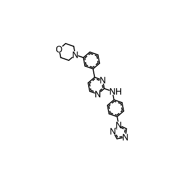 c1cc(-c2ccnc(Nc3ccc(-n4cncn4)cc3)n2)cc(N2CCOCC2)c1